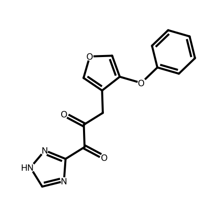 O=C(Cc1cocc1Oc1ccccc1)C(=O)c1nc[nH]n1